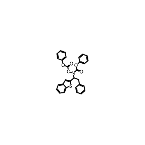 O=C(Oc1ccccc1)ON(C(=O)Oc1ccccc1)C(Cc1ccccc1)c1cc2ccccc2s1